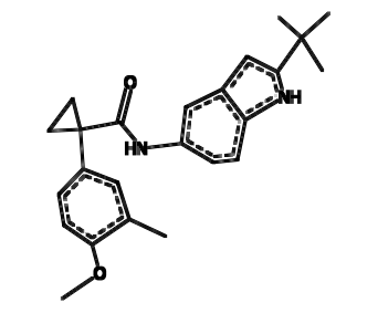 COc1ccc(C2(C(=O)Nc3ccc4[nH]c(C(C)(C)C)cc4c3)CC2)cc1C